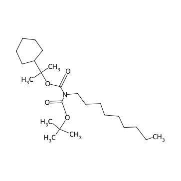 CCCCCCCCCN(C(=O)OC(C)(C)C)C(=O)OC(C)(C)C1CCCCC1